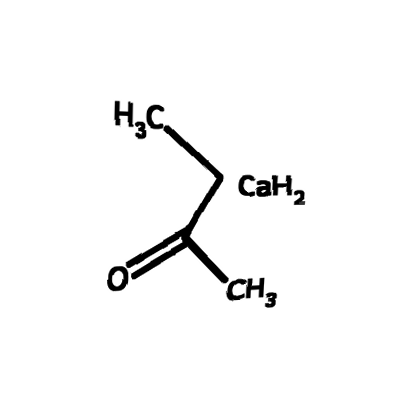 CCC(C)=O.[CaH2]